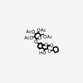 CC(=O)OC[C@H]1O[C@@H](Oc2ccc3c(O)c(OC4CCCCC4)c(=O)oc3c2)[C@H](OC(C)=O)[C@@H](OC(C)=O)[C@@H]1OC(C)=O